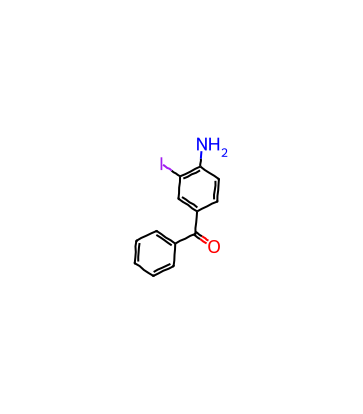 Nc1ccc(C(=O)c2ccccc2)cc1I